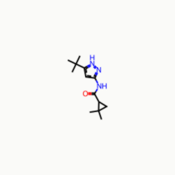 CC(C)(C)c1cc(NC(=O)C2CC2(C)C)n[nH]1